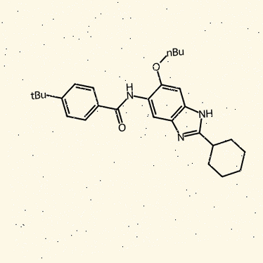 CCCCOc1cc2[nH]c(C3CCCCC3)nc2cc1NC(=O)c1ccc(C(C)(C)C)cc1